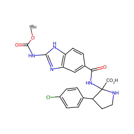 CC(C)(C)OC(=O)Nc1nc2cc(C(=O)NC3(C(=O)O)NCCC3c3ccc(Cl)cc3)ccc2[nH]1